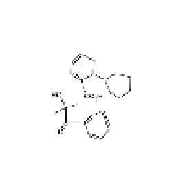 CC(C)(O)C(=O)c1ccccc1.O=C(O)c1ccccc1C1CCCCC1